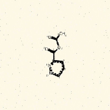 CC(=O)OC(=O)c1cccnn1